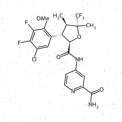 COc1c([C@@H]2[C@@H](C)[C@](C)(C(F)(F)F)O[C@H]2C(=O)Nc2ccnc(C(N)=O)c2)cc(Cl)c(F)c1F